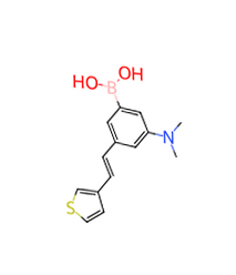 CN(C)c1cc(/C=C/c2ccsc2)cc(B(O)O)c1